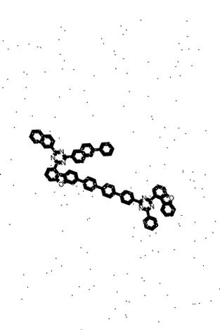 c1ccc(-c2ccc3cc(-c4nc(-c5ccc6ccccc6c5)nc(-c5cccc6oc7cc(-c8ccc(-c9ccc(-c%10ccc(-c%11nc(-c%12ccccc%12)nc(-c%12cccc%13oc%14ccccc%14c%12%13)n%11)cc%10)cc9)cc8)ccc7c56)n4)ccc3c2)cc1